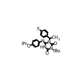 CC(C)Oc1ccc(/N=c2\[nH]c(=O)n(C(C)(C)C)c(=O)n2C(C)c2ccc(F)cc2)cc1